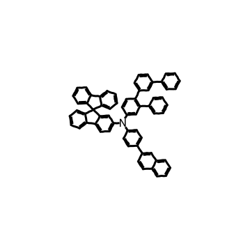 c1ccc(-c2cccc(-c3ccc(N(c4ccc(-c5ccc6ccccc6c5)cc4)c4ccc5c(c4)C4(c6ccccc6-c6ccccc64)c4ccccc4-5)cc3-c3ccccc3)c2)cc1